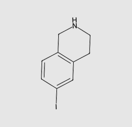 Ic1ccc2c(c1)CCNC2